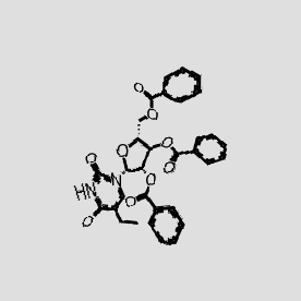 CCc1cn([C@@H]2O[C@H](COC(=O)c3ccccc3)C(OC(=O)c3ccccc3)[C@@H]2OC(=O)c2ccccc2)c(=O)[nH]c1=O